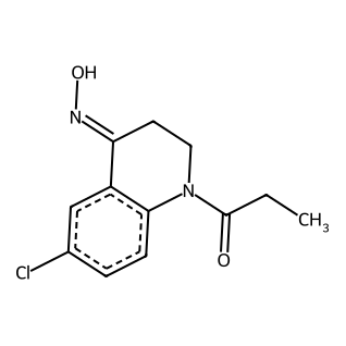 CCC(=O)N1CC/C(=N\O)c2cc(Cl)ccc21